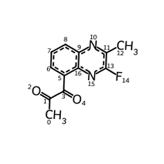 CC(=O)C(=O)c1cccc2nc(C)c(F)nc12